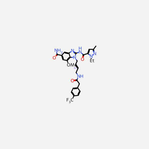 CCn1nc(C)cc1C(=O)Nc1nc2cc(C(N)=O)cc(OC)c2n1C/C=C/CNC(=O)Cc1ccc(C(F)(F)F)cc1